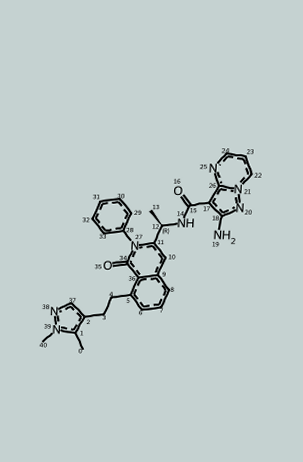 Cc1c(CCc2cccc3cc([C@@H](C)NC(=O)c4c(N)nn5cccnc45)n(-c4ccccc4)c(=O)c23)cnn1C